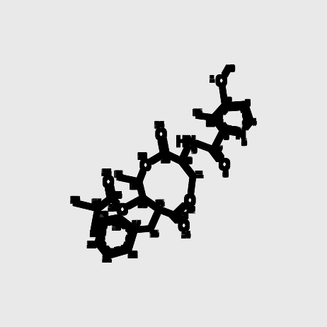 COc1ccnc(C(=O)NC2COC(=O)C(Cc3ccccc3)C(OC(=O)C(C)C)C(C)OC2=O)c1C